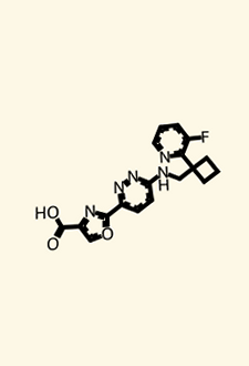 O=C(O)c1coc(-c2ccc(NCC3(c4ncccc4F)CCC3)nn2)n1